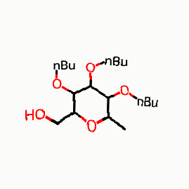 CCCCOC1C(C)OC(CO)C(OCCCC)C1OCCCC